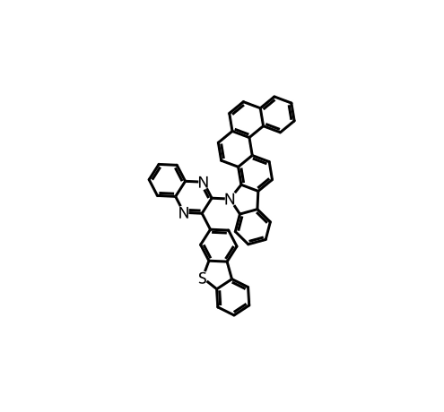 c1ccc2c(c1)ccc1ccc3c(ccc4c5ccccc5n(-c5nc6ccccc6nc5-c5ccc6c(c5)sc5ccccc56)c34)c12